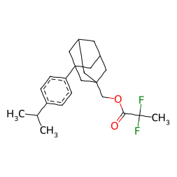 CC(C)c1ccc(C23CC4CC(CC(COC(=O)C(C)(F)F)(C4)C2)C3)cc1